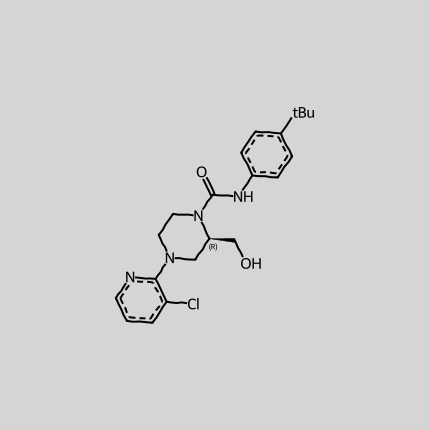 CC(C)(C)c1ccc(NC(=O)N2CCN(c3ncccc3Cl)C[C@@H]2CO)cc1